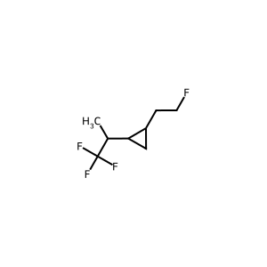 CC(C1CC1CCF)C(F)(F)F